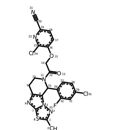 Cc1nn2c3c(nc2s1)CCN(C(=O)COc1ccc(C#N)nc1Cl)C3c1ccc(Cl)cc1F